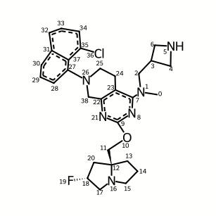 CN(CC1CNC1)c1nc(OC[C@@]23CCCN2C[C@H](F)C3)nc2c1CCN(c1cccc3cccc(Cl)c13)C2